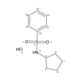 Cl.O=S(=O)(NC1CCCC1)c1ccccc1